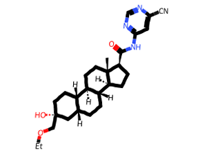 CCOC[C@@]1(O)CC[C@H]2[C@H](CC[C@@H]3[C@@H]2CC[C@]2(C)[C@@H](C(=O)Nc4cc(C#N)ncn4)CC[C@@H]32)C1